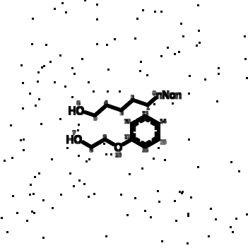 CCCCCCCCCCCCCCO.OCCOc1ccccc1